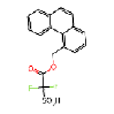 O=C(OCc1cccc2ccc3ccccc3c12)C(F)(F)S(=O)(=O)O